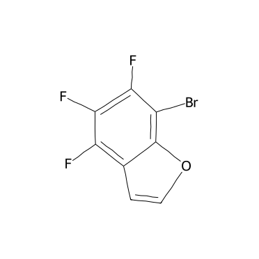 Fc1c(F)c(Br)c2occc2c1F